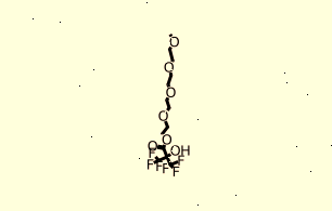 COCCOCCOCCOCCOC(=O)C(O)(C(F)(F)F)C(F)(F)F